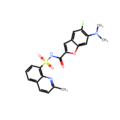 Cc1ccc2cccc(S(=O)(=O)NC(=O)c3cc4cc(F)c(N(C)C)cc4o3)c2n1